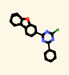 Clc1nc(-c2ccccc2)nc(-c2ccc3c(c2)oc2c#cccc23)n1